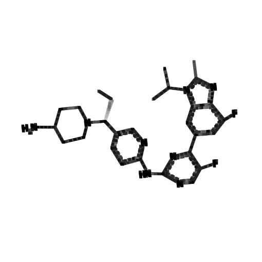 CC[C@H](c1ccc(Nc2ncc(F)c(-c3cc(F)c4nc(C)n(C(C)C)c4c3)n2)nc1)N1CCC(N)CC1